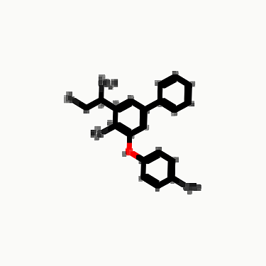 COc1ccc(Oc2cc(-c3ccccc3)cc(C(CC(C)C)C(=O)O)c2C(F)(F)F)cc1